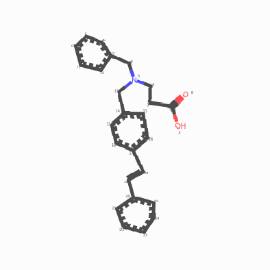 O=C(O)CCN(Cc1ccccc1)Cc1ccc(C=Cc2ccccc2)cc1